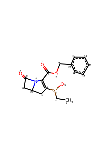 CC[S+]([O-])C1=C(C(=O)OCc2ccccc2)N2C(=O)CC2C1